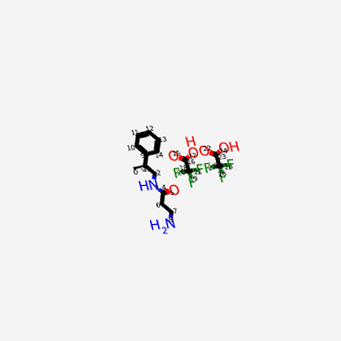 C[C@H](CNC(=O)CCN)c1ccccc1.O=C(O)C(F)(F)F.O=C(O)C(F)(F)F